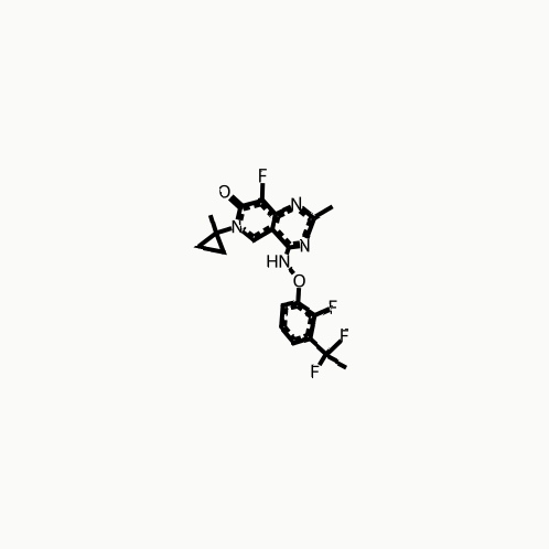 Cc1nc(NOc2cccc(C(C)(F)F)c2F)c2cn(C3(C)CC3)c(=O)c(F)c2n1